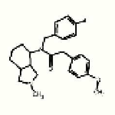 COc1ccc(CC(=O)N(Cc2ccc(F)cc2)C2CCCC3CN(C)CC32)cc1